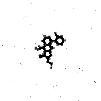 CCCN1Cc2nc3c(-c4ccccc4C)cccc3c(N)c2C1=O